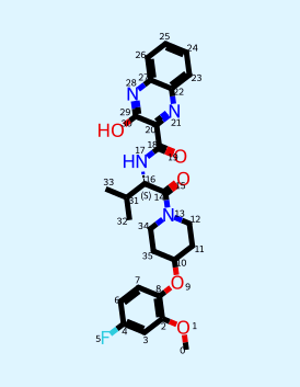 COc1cc(F)ccc1OC1CCN(C(=O)[C@@H](NC(=O)c2nc3ccccc3nc2O)C(C)C)CC1